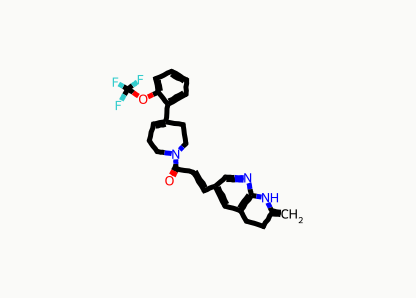 C=C1CCc2cc(/C=C/C(=O)N3CCC=C(c4ccccc4OC(F)(F)F)CC3)cnc2N1